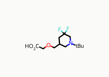 CC(C)(C)N1CC(COCC(=O)O)CC(F)(F)C1